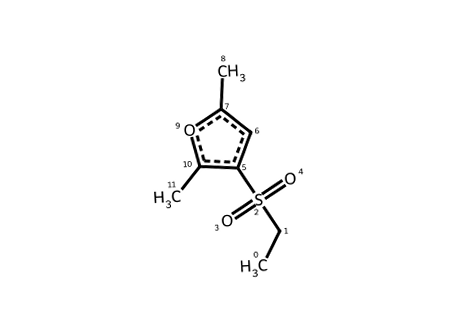 CCS(=O)(=O)c1cc(C)oc1C